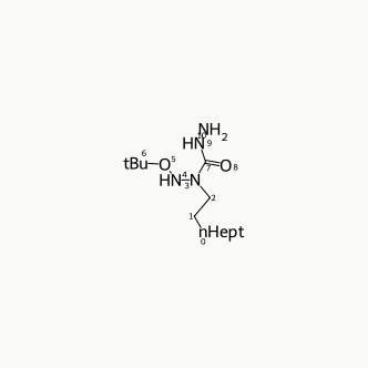 CCCCCCCCCN(NOC(C)(C)C)C(=O)NN